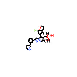 Cc1cn2nc(-c3cccc(-c4cccnc4)c3)cc2c(-c2cc(F)c3c(c2C)CCCO3)c1CC(=O)O